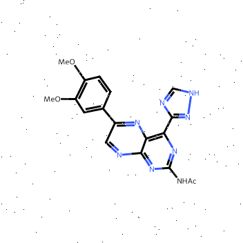 COc1ccc(-c2cnc3nc(NC(C)=O)nc(-c4nc[nH]n4)c3n2)cc1OC